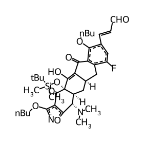 CCCCOc1noc2c1C(=O)[C@@]1(O[Si](C)(C)C(C)(C)C)C(O)=C3C(=O)c4c(c(F)cc(/C=C/C=O)c4OCCCC)C[C@H]3C[C@H]1[C@@H]2N(C)C